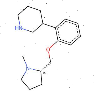 CN1CCC[C@H]1COc1ccccc1C1CCCNC1